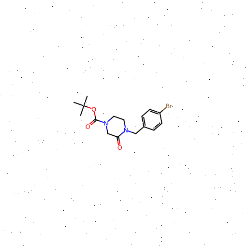 CC(C)(C)OC(=O)N1CCN(Cc2ccc(Br)cc2)C(=O)C1